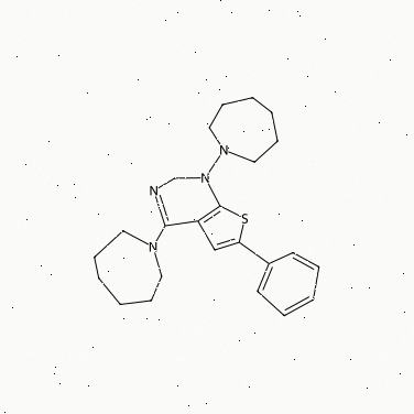 c1ccc(-c2cc3c(s2)N(N2CCCCCC2)CN=C3N2CCCCCC2)cc1